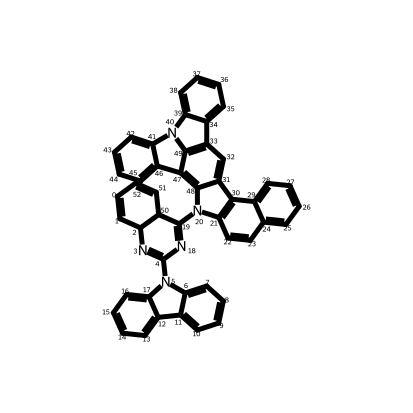 C1=CC2N=C(n3c4ccccc4c4ccccc43)N=C(n3c4ccc5ccccc5c4c4cc5c6ccccc6n6c7ccccc7c(c43)c56)C2C=C1